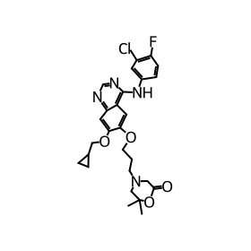 CC1(C)CN(CCCOc2cc3c(Nc4ccc(F)c(Cl)c4)ncnc3cc2OCC2CC2)CC(=O)O1